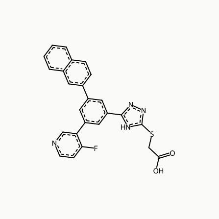 O=C(O)CSc1nnc(-c2cc(-c3ccc4ccccc4c3)cc(-c3cnccc3F)c2)[nH]1